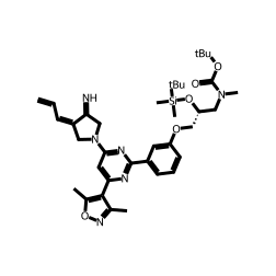 C=C/C=C1/CN(c2cc(-c3c(C)noc3C)nc(-c3cccc(OC[C@@H](CN(C)C(=O)OC(C)(C)C)O[Si](C)(C)C(C)(C)C)c3)n2)CC1=N